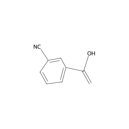 C=C(O)c1cccc(C#N)c1